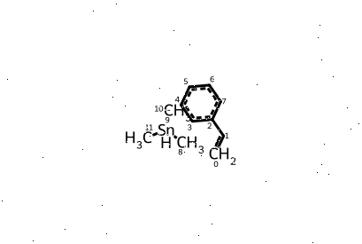 C=Cc1ccccc1.[CH3][SnH]([CH3])[CH3]